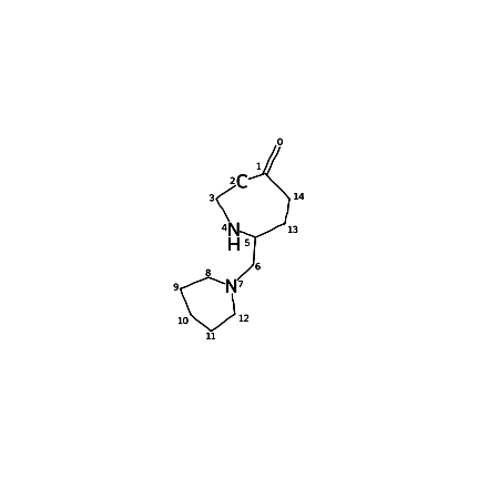 C=C1CCNC(CN2CCCCC2)CC1